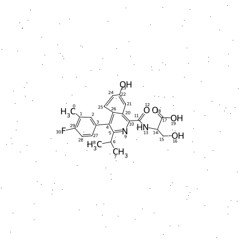 Cc1cc(-c2c(C(C)C)nc(C(=O)NC(CO)C(=O)O)c3cc(O)ccc23)ccc1F